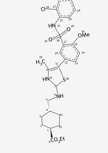 CCOC(=O)[C@H]1CC[C@H](CNC2NC(C)=C(c3ccc(OC)c(S(=O)(=O)Nc4ccccc4Cl)c3)S2)CC1